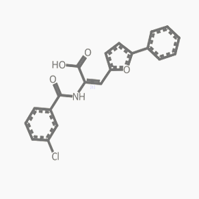 O=C(O)/C(=C\c1ccc(-c2ccccc2)o1)NC(=O)c1cccc(Cl)c1